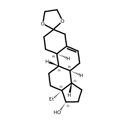 CC[C@]12CC[C@H]3[C@@H](CC=C4CC5(CC[C@@H]43)OCCO5)[C@@H]1CC[C@@H]2O